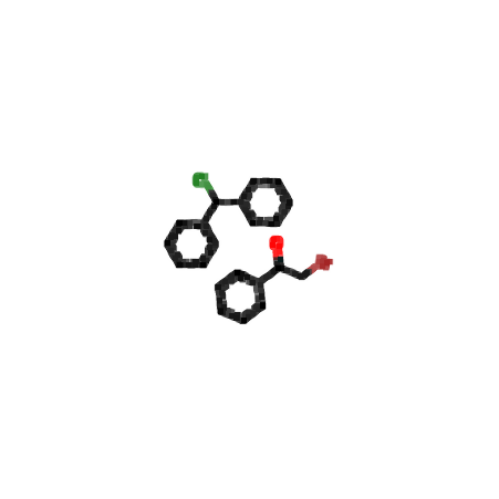 ClC(c1ccccc1)c1ccccc1.O=C(CBr)c1ccccc1